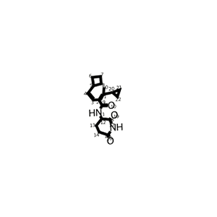 C/C(=C(\C=C/C1CCC1)C(=O)NC1CCC(=O)NC1=O)C1CC1